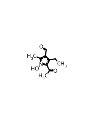 CCc1c(C=O)c(C)n(O)c1C(C)=O